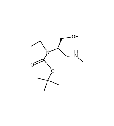 CCN(C(=O)OC(C)(C)C)[C@@H](CO)CNC